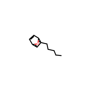 CCCCCc1cc2ccc1o2